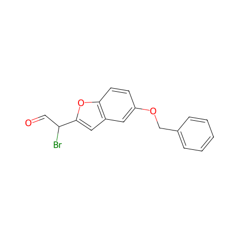 O=CC(Br)c1cc2cc(OCc3ccccc3)ccc2o1